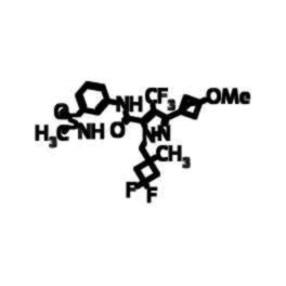 COC12CC(c3nn(CC4(C)CC(F)(F)C4)c(C(=O)Nc4cccc(S(C)(=N)=O)c4)c3C(F)(F)F)(C1)C2